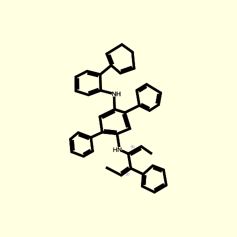 C/C=C(\C(=C/C)Nc1cc(-c2ccccc2)c(Nc2ccccc2C2=CCCC=C2)cc1-c1ccccc1)c1ccccc1